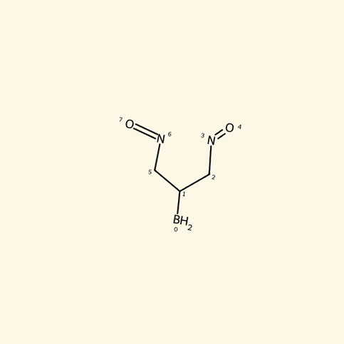 BC(CN=O)CN=O